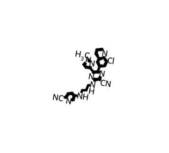 Cn1ccc(-c2nc(NCCCNc3ccc(C#N)nc3)c(C#N)nc2-c2cc(Cl)c3ncccc3c2)n1